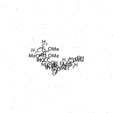 C1CCOC1.CC#N.CC(=O)CC(C)C.CC(C)O.CCC(C)=O.CCC(CC)(C(=O)O)C(=O)O.CCOC(=O)C(C)O.CO.COCC(C)O.COCC(C)OC(C)=O.COCCOCCOC